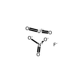 O=[N+]([O-])[O-].[F-].[O]=[U+2]=[O]